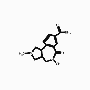 CN1CC2CN(C)C(=O)c3cc(C(N)=O)ccc3C2C1